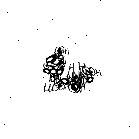 CN(C)c1nc(Nc2ccccc2C(=O)O)nc(Nc2cc(Nc3ccc4c5c3C(=O)c3ccccc3-c5c(C(=O)c3cccc(S(=O)(=O)O)c3)c(=O)n4C)c(S(=O)(=O)O)cc2S(=O)(=O)O)n1